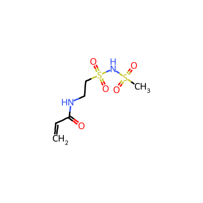 C=CC(=O)NCCS(=O)(=O)NS(C)(=O)=O